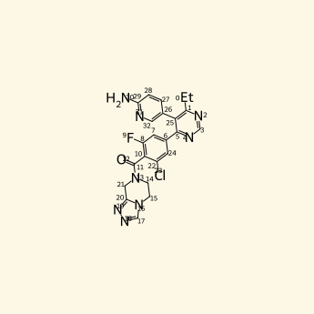 CCc1ncnc(-c2cc(F)c(C(=O)N3CCn4cnnc4C3)c(Cl)c2)c1-c1ccc(N)nc1